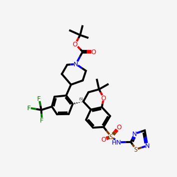 CC(C)(C)OC(=O)N1CCC(c2cc(C(F)(F)F)ccc2[C@@H]2CC(C)(C)Oc3cc(S(=O)(=O)Nc4ncns4)ccc32)CC1